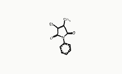 CCC1C(=O)N(c2ccccc2)C(=O)C1C